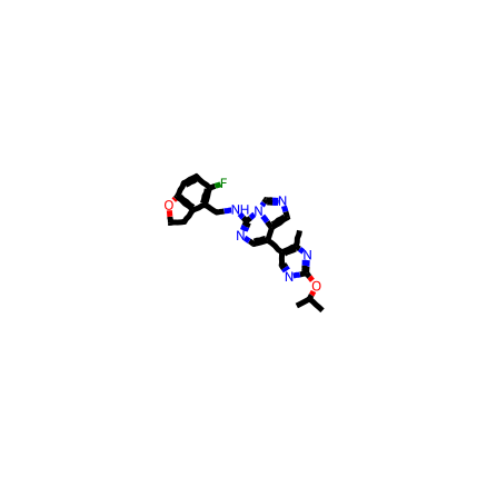 Cc1nc(OC(C)C)ncc1-c1cnc(NCc2c(F)ccc3c2CCO3)n2cncc12